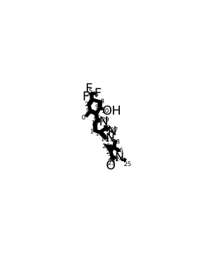 Cc1cc(C(F)(F)F)cc(O)c1-c1ccc2cn(CC34CC3C(=O)N(C)C4)nc2n1